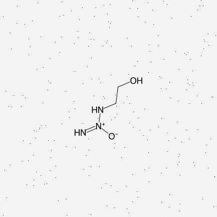 N=[N+]([O-])NCCO